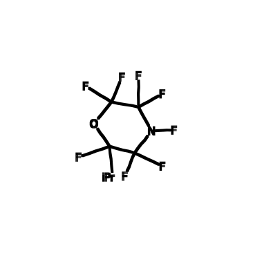 CC(C)C1(F)OC(F)(F)C(F)(F)N(F)C1(F)F